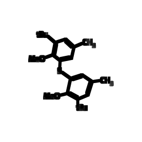 COc1c(Sc2cc(C)cc(C(C)(C)C)c2OC)cc(C)cc1C(C)(C)C